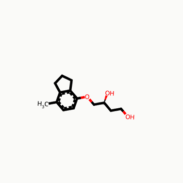 Cc1ccc(OC[C@@H](O)CCO)c2c1CCC2